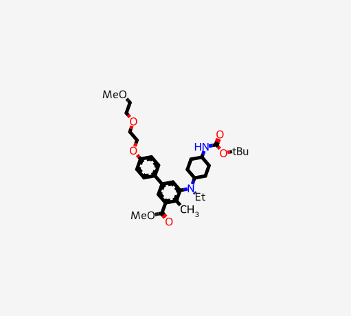 CCN(c1cc(-c2ccc(OCCOCCOC)cc2)cc(C(=O)OC)c1C)C1CCC(NC(=O)OC(C)(C)C)CC1